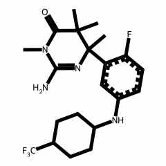 CN1C(=O)C(C)(C)C(C)(c2cc(NC3CCC(C(F)(F)F)CC3)ccc2F)N=C1N